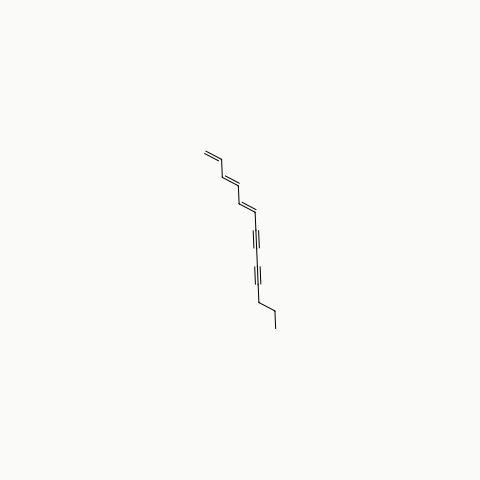 C=CC=CC=CC#CC#CCCC